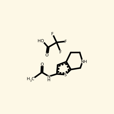 CC(=O)Nc1cc2c(s1)CNCC2.O=C(O)C(F)(F)F